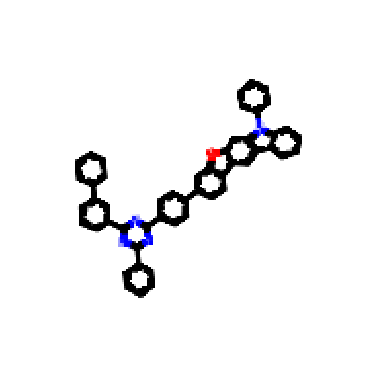 c1ccc(-c2cccc(-c3nc(-c4ccccc4)nc(-c4ccc(-c5ccc6c(c5)oc5cc7c(cc56)c5ccccc5n7-c5ccccc5)cc4)n3)c2)cc1